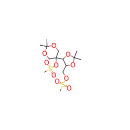 CC1(C)OCC(OS(C)(=O)=O)(C2OC(C)(C)OC2COS(C)(=O)=O)CO1